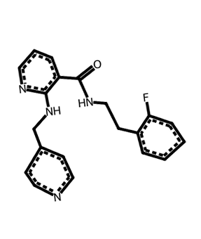 O=C(NCCc1ccccc1F)c1cccnc1NCc1ccncc1